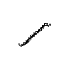 O=C(O)COCCOCCOCCOCCOCCOCCOCC(F)(F)F